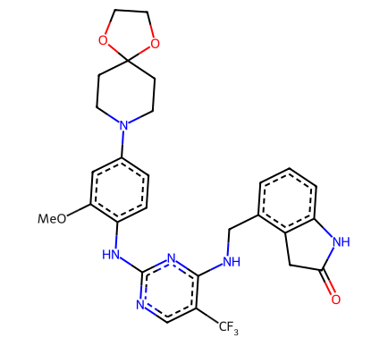 COc1cc(N2CCC3(CC2)OCCO3)ccc1Nc1ncc(C(F)(F)F)c(NCc2cccc3c2CC(=O)N3)n1